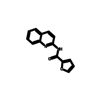 O=C(Nc1ccc2ccccc2n1)c1ccco1